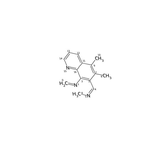 C=Nc1c(/C=N\C)c(C)c(C)c2cccnc12